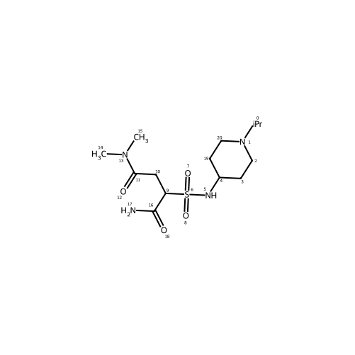 CC(C)N1CCC(NS(=O)(=O)C(CC(=O)N(C)C)C(N)=O)CC1